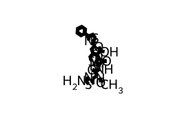 CON=C(C(=O)N[C@@H]1C(=O)N2C(C(=O)O)=C(CSc3nc(-c4ccccc4)cs3)CS[C@@H]12)c1csc(N)n1